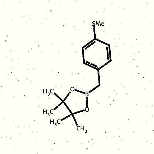 CSc1ccc(CB2OC(C)(C)C(C)(C)O2)cc1